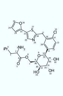 CC(C)CC(N)C(=O)OC[C@H]1O[C@@H](c2ccc(Cl)c(Cc3ncc(-c4ccco4)s3)c2)[C@H](O)[C@H](O)[C@H]1O